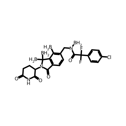 Bc1c(CN(B)C(=O)C(F)(F)c2ccc(Cl)cc2)ccc2c1C(B)(B)N(C1CCC(=O)NC1=O)C2=O